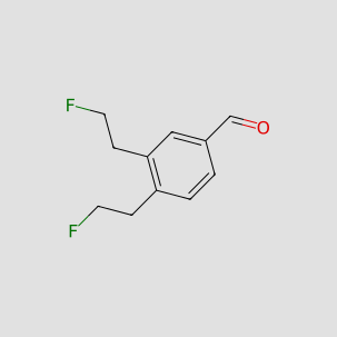 O=Cc1ccc(CCF)c(CCF)c1